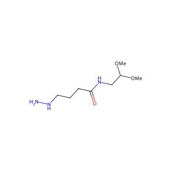 COC(CNC(=O)CCCNN)OC